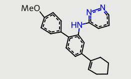 COc1ccc(-c2ccc(C3=CCCCC3)cc2Nc2cccnn2)cc1